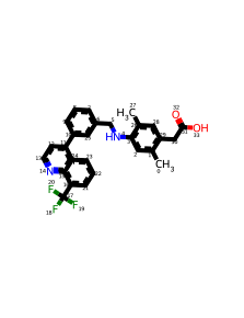 Cc1cc(NCc2cccc(-c3ccnc4c(C(F)(F)F)cccc34)c2)c(C)cc1CC(=O)O